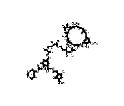 COc1cc2cc(c1Cl)N(C)C(=O)C[C@H](OC(=O)[C@H](C)N(C)C(=O)CCSC(=O)N(C)CCN(C)C(=O)OCc1ccc(NC(=O)OC3/C=C/COCOC3)c(C(=O)NCCN3C(=O)CC(SC)C3=O)c1)[C@]1(C)O[C@H]1[C@H](C)[C@@H]1C[C@@](O)(NC(=O)O1)[C@H](OC)/C=C/C=C(\C)C2